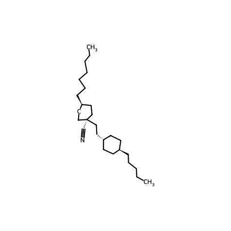 CCCCCCC[C@H]1CC[C@@](C#N)(CC[C@H]2CC[C@H](CCCCC)CC2)CC1